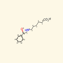 O=C(O)CCCCCNCC(=O)c1ccccc1